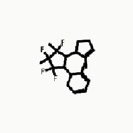 CC1=CCCC1C1C(C2CC=CC=C2C)C(F)(F)C(C)(F)C1(C)F